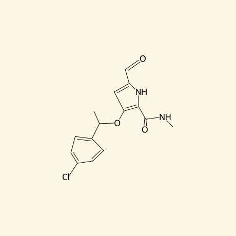 CNC(=O)c1[nH]c(C=O)cc1OC(C)c1ccc(Cl)cc1